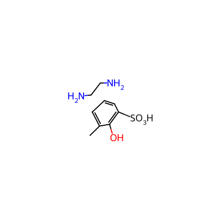 Cc1cccc(S(=O)(=O)O)c1O.NCCN